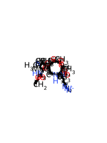 C=CCOC(=O)NCC1CC(N(C)C)C(C)[C@H](O[C@@H]2[C@@H](C)C(=O)[C@@H](C)C(=O)O[C@H](CC)[C@@]3(C)OC(=O)N(CCCCN=[N+]=[N-])[C@@H]3[C@@H](C)NC[C@H](C)C[C@@]2(C)OC)O1